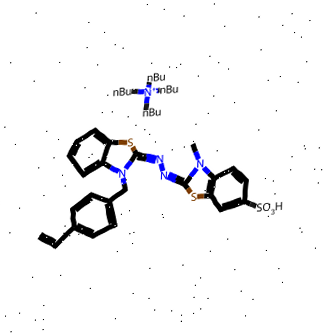 C=Cc1ccc(Cn2c(=NN=c3sc4cc(S(=O)(=O)O)ccc4n3C)sc3ccccc32)cc1.CCCC[N+](CCCC)(CCCC)CCCC